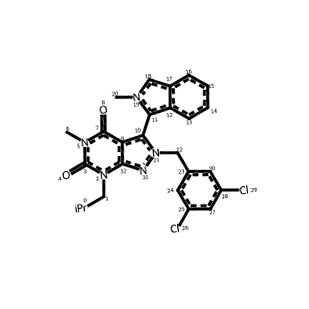 CC(C)Cn1c(=O)n(C)c(=O)c2c(-c3c4ccccc4cn3C)n(Cc3cc(Cl)cc(Cl)c3)nc21